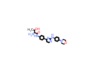 C[C@@H](O)[C@H](N)C(=O)Nc1ccc(-c2ccnc(Nc3ccc(N4CCOCC4)cc3)n2)cc1